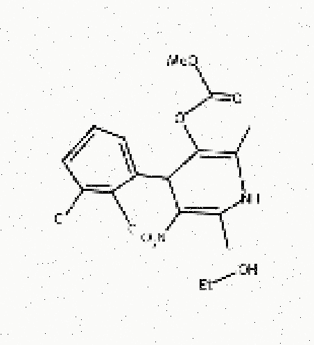 CCO.COC(=O)OC1=C(C)NC(C)=C([N+](=O)[O-])C1c1cccc(Cl)c1Cl